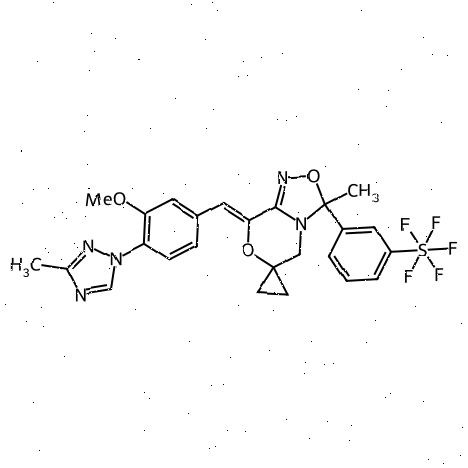 COc1cc(/C=C2\OC3(CC3)CN3C2=NOC3(C)c2cccc(S(F)(F)(F)(F)F)c2)ccc1-n1cnc(C)n1